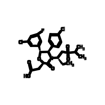 CC[C@@H](CS(=O)(=O)C(C)C)N1C(=O)[C@@H](CC(=O)O)O[C@H](c2cc(F)cc(Cl)c2)[C@H]1c1ccc(Cl)cc1